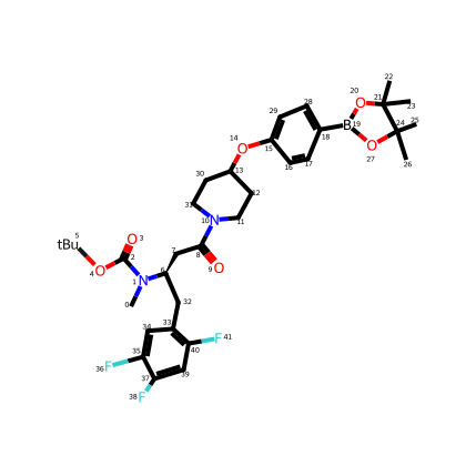 CN(C(=O)OC(C)(C)C)[C@@H](CC(=O)N1CCC(Oc2ccc(B3OC(C)(C)C(C)(C)O3)cc2)CC1)Cc1cc(F)c(F)cc1F